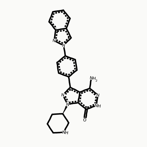 Nc1n[nH]c(=O)c2c1c(-c1ccc(-n3cc4ccccc4n3)cc1)nn2[C@@H]1CCCNC1